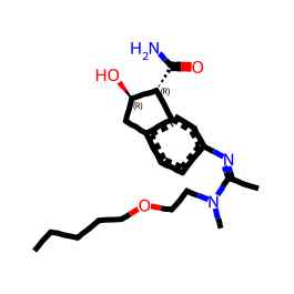 CCCCCOCCN(C)C(C)=Nc1ccc2c(c1)[C@@H](C(N)=O)[C@H](O)C2